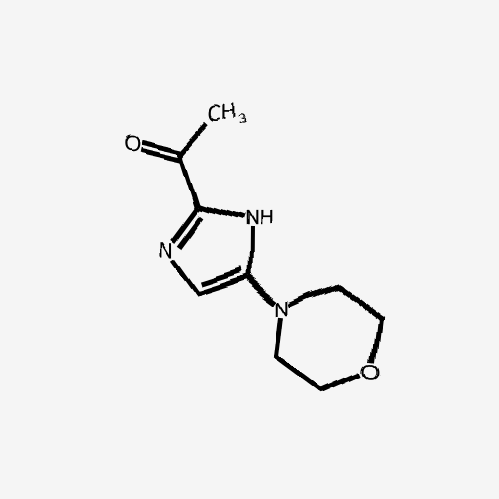 CC(=O)c1ncc(N2CCOCC2)[nH]1